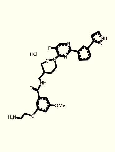 COc1cc(OCCN)cc(C(=O)NCC2CCN(c3nc(-c4cccc(-c5cc[nH]n5)c4)ncc3F)CC2)c1.Cl